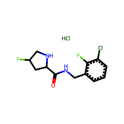 Cl.O=C(NCc1cccc(Cl)c1F)C1CC(F)CN1